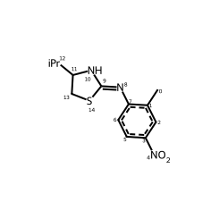 Cc1cc([N+](=O)[O-])ccc1/N=C1/NC(C(C)C)CS1